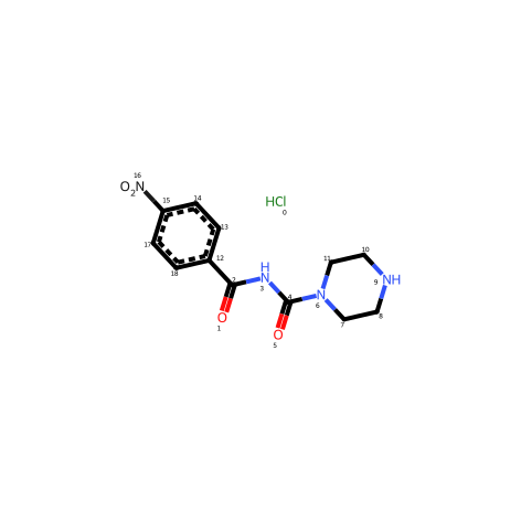 Cl.O=C(NC(=O)N1CCNCC1)c1ccc([N+](=O)[O-])cc1